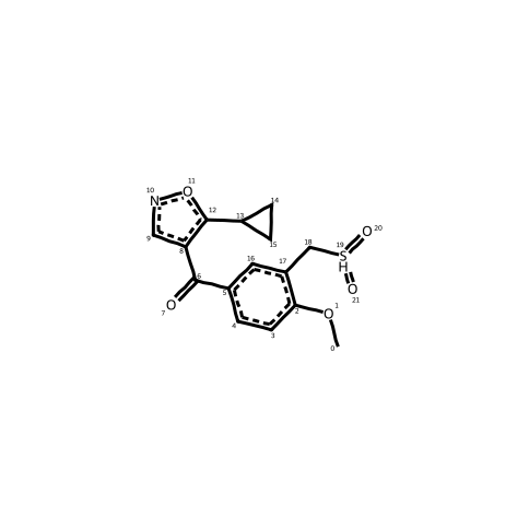 COc1ccc(C(=O)c2cnoc2C2CC2)cc1C[SH](=O)=O